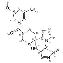 COc1cc(OC)cc(C(=O)N2CCC3(CC2)Nc2cnn(C)c2-n2cccc23)c1